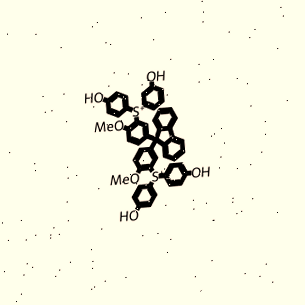 COc1ccc(C2(c3ccc(OC)c([S+](c4ccc(O)cc4)c4cccc(O)c4)c3)c3ccccc3-c3ccccc32)cc1[S+](c1ccc(O)cc1)c1ccc(O)cc1